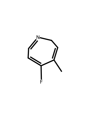 CC1=CCN=CC=C1F